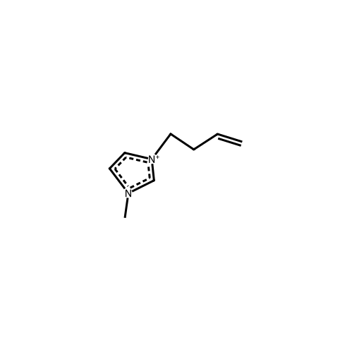 C=CCC[n+]1ccn(C)c1